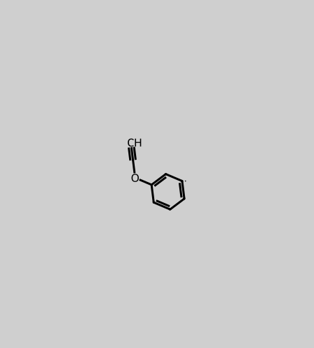 C#COc1c[c]ccc1